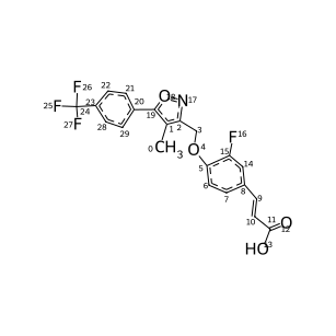 Cc1c(COc2ccc(/C=C/C(=O)O)cc2F)noc1-c1ccc(C(F)(F)F)cc1